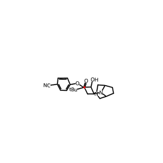 CC(C)(C)C(=O)CN1CC2CCC(C1)N2CC(O)COc1ccc(C#N)cc1